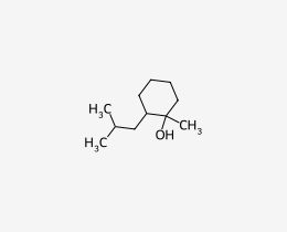 CC(C)CC1CCCCC1(C)O